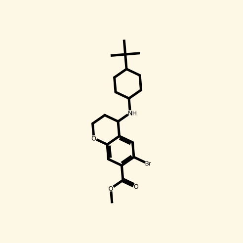 COC(=O)c1cc2c(cc1Br)C(NC1CCC(C(C)(C)C)CC1)CCO2